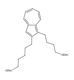 CCCCCCCCCCCCCCCc1cc2cccccc-2c1CCCCCCCCCCCCCC